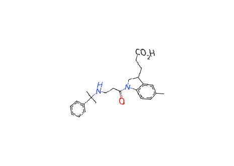 Cc1ccc2c(c1)C(CCC(=O)O)CN2C(=O)CCNC(C)(C)c1ccccc1